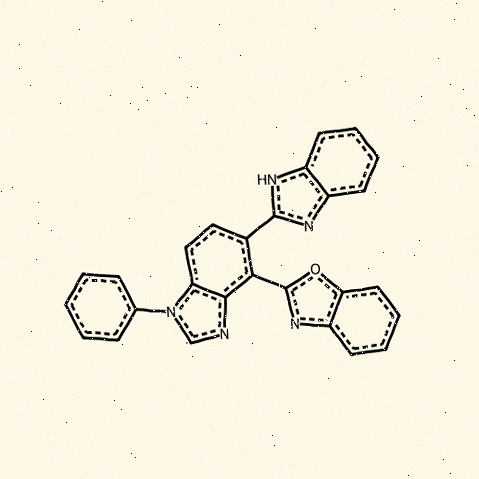 [c]1nc2c(-c3nc4ccccc4o3)c(-c3nc4ccccc4[nH]3)ccc2n1-c1ccccc1